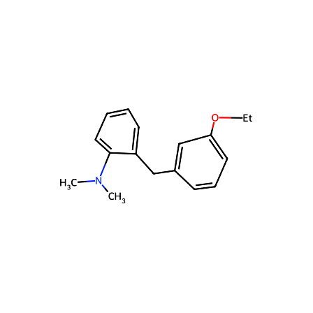 CCOc1cccc(Cc2ccccc2N(C)C)c1